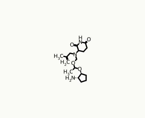 C=C(C)CN(COC(C)O[C@H]1CCC[C@@H]1N)C1CCC(=O)NC1=O